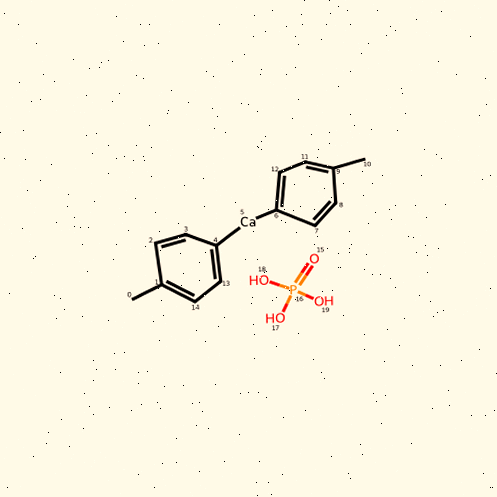 Cc1cc[c]([Ca][c]2ccc(C)cc2)cc1.O=P(O)(O)O